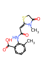 Cc1cccc(C(=O)O)c1NC(=O)C=C1SCC(=O)N1C